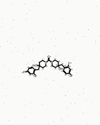 O=C(N1CCC(O)(Cc2ccc(F)cc2F)CC1)N1CCC(O)(Cc2ccc(F)cc2F)CC1